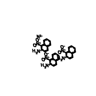 [N-3].[NH3+]c1ccc2ccccc2c1[N+](=O)[O-].[NH3+]c1ccc2ccccc2c1[N+](=O)[O-].[NH3+]c1ccc2ccccc2c1[N+](=O)[O-]